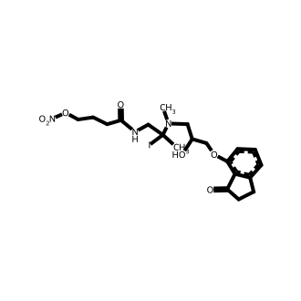 CN(CC(O)COc1cccc2c1C(=O)CC2)C(C)(I)CNC(=O)CCCO[N+](=O)[O-]